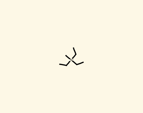 CC[N+](C)(CC)CC